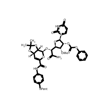 CCCCCc1ccc(NC(=O)C2=C[C@@H]3OC(C)(C)O[C@@H]3[C@@H](O[C@@H](C(N)=O)[C@H]3O[C@@H](n4ccc(=O)[nH]c4=O)[C@H](OC(=S)Oc4ccccc4)[C@@H]3OC)O2)cc1